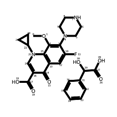 COc1c(N2CCNCC2)c(F)cc2c(=O)c(C(=O)O)cn(C3CC3)c12.O=C(O)C(O)c1ccccc1